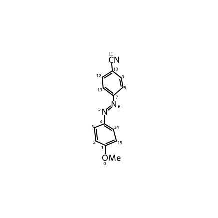 COc1ccc(/N=N/c2ccc(C#N)cc2)cc1